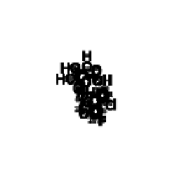 O=C(O)C1OC(ONC[C@H]2COc3cc(F)cc(-c4c(Cl)cccc4Cl)c3O2)C(O)C(O)C1O